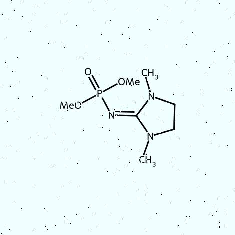 COP(=O)(N=C1N(C)CCN1C)OC